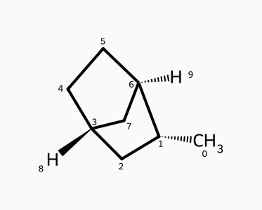 C[C@@H]1C[C@@H]2CC[C@@H]1C2